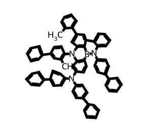 Cc1ccccc1-c1cc2c3c(c1)N(c1ccc(-c4ccccc4)cc1C)c1cc(N(c4ccc(-c5ccccc5)cc4)c4ccc(-c5ccccc5)cc4)ccc1B3N(c1ccc(-c3ccccc3)cc1)c1ccccc1-2